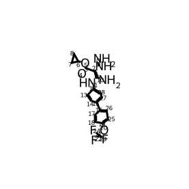 NN/C(C(=O)OC1CC1)=C(\N)Nc1ccc(-c2ccc(OC(F)(F)F)cc2)cc1